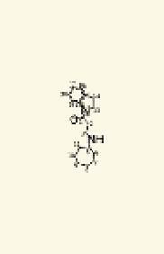 O=C(CCNC1CCCCCC1)N1CCc2ccccc21